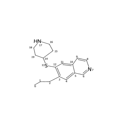 CCCc1cc2cnccc2cc1SC1CCNCC1